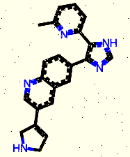 Cc1cccc(-c2[nH]cnc2-c2ccc3ncc(C4=CCNC4)cc3c2)n1